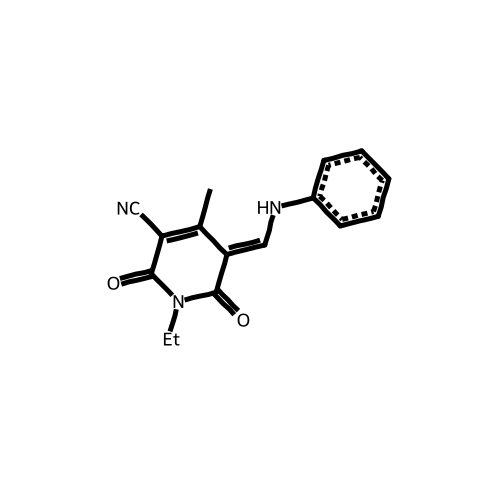 CCN1C(=O)C(C#N)=C(C)/C(=C\Nc2ccccc2)C1=O